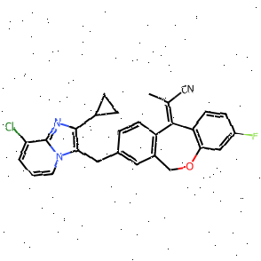 CC(C#N)=C1c2ccc(Cc3c(C4CC4)nc4c(Cl)cccn34)cc2COc2cc(F)ccc21